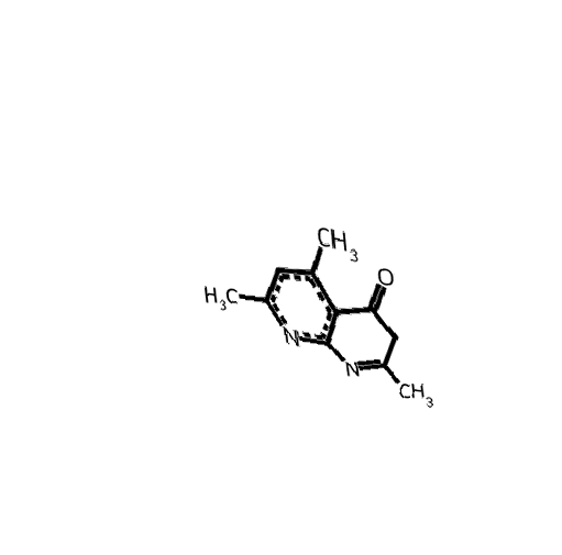 CC1=Nc2nc(C)cc(C)c2C(=O)C1